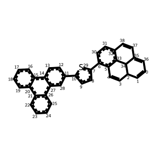 C1=CC2C=Cc3c(-c4ccc(-c5ccc6c7ccccc7c7ccccc7c6c5)s4)ccc4c3C2C(=C1)C=C4